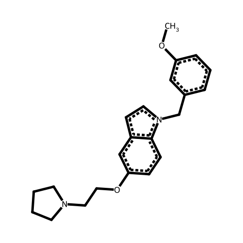 COc1cccc(Cn2ccc3cc(OCCN4CCCC4)ccc32)c1